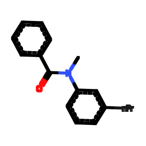 CCCc1cccc(N(C)C(=O)c2ccccc2)c1